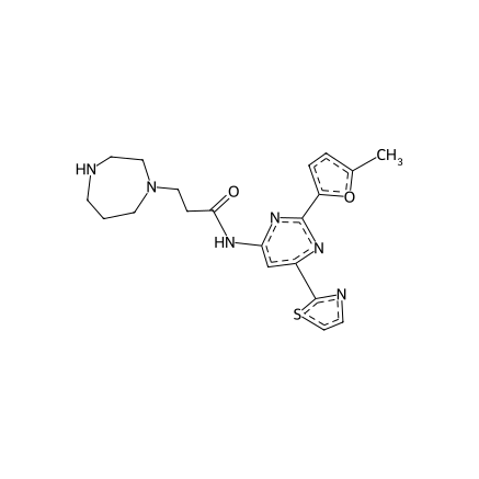 Cc1ccc(-c2nc(NC(=O)CCN3CCCNCC3)cc(-c3nccs3)n2)o1